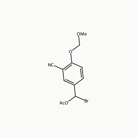 COCOc1ccc(C(Br)OC(C)=O)cc1C#N